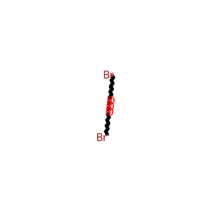 BrCCCC=CCCCOCOCOCCCC=CCCCBr